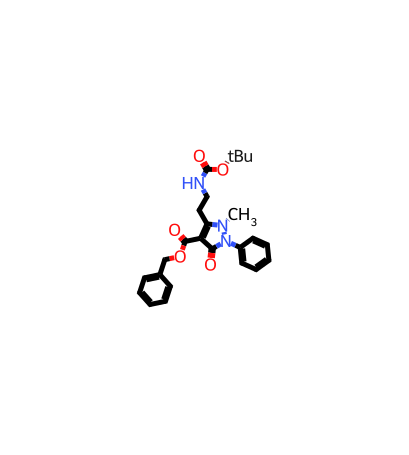 Cn1c(CCNC(=O)OC(C)(C)C)c(C(=O)OCc2ccccc2)c(=O)n1-c1ccccc1